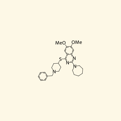 COc1cc2nc(N3CCCCCC3)nc(SC3CCN(Cc4ccccc4)CC3)c2cc1OC